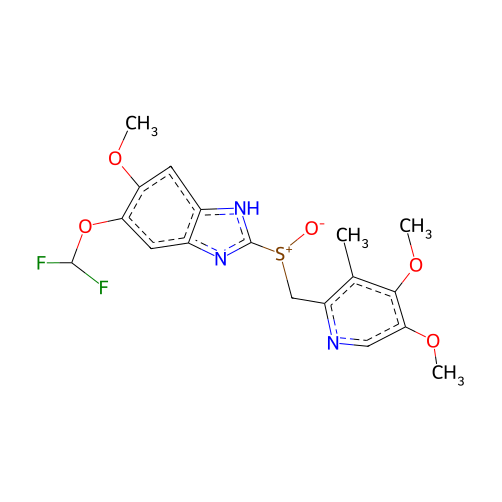 COc1cc2[nH]c([S+]([O-])Cc3ncc(OC)c(OC)c3C)nc2cc1OC(F)F